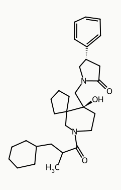 CC(CC1CCCCC1)C(=O)N1CC[C@@](O)(CN2C[C@H](c3ccccc3)CC2=O)C2(CCCC2)C1